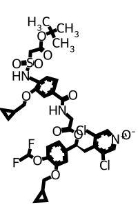 CC(C)(C)OC(=O)CS(=O)(=O)Nc1ccc(C(=O)NCC(=O)O[C@@H](Cc2c(Cl)c[n+]([O-])cc2Cl)c2ccc(OC(F)F)c(OCC3CC3)c2)cc1OCC1CC1